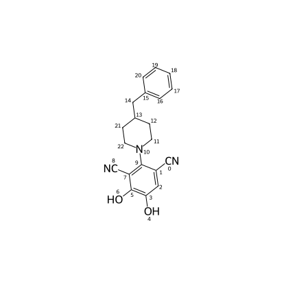 N#Cc1cc(O)c(O)c(C#N)c1N1CCC(Cc2ccccc2)CC1